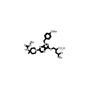 CCCCC(CC)CC(CSc1nn(Cc2ccc(OC)cc2)c2nc(N3CCC(C)(NC(=O)OC(C)(C)C)CC3)cnc12)C(=O)O